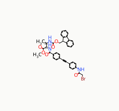 COC(=O)[C@@H](NC(=O)c1ccc(C#Cc2ccc(NC(=O)CBr)cc2)cc1)[C@@H](C)NC(=O)OCC1c2ccccc2-c2ccccc21